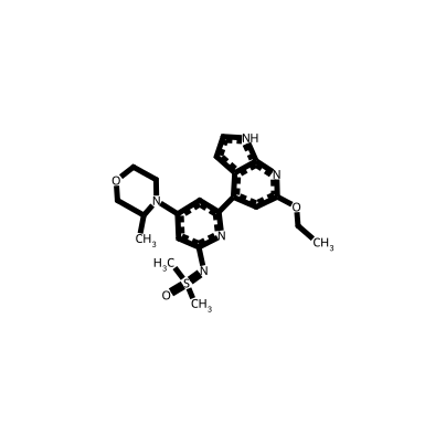 CCOc1cc(-c2cc(N3CCOCC3C)cc(N=S(C)(C)=O)n2)c2cc[nH]c2n1